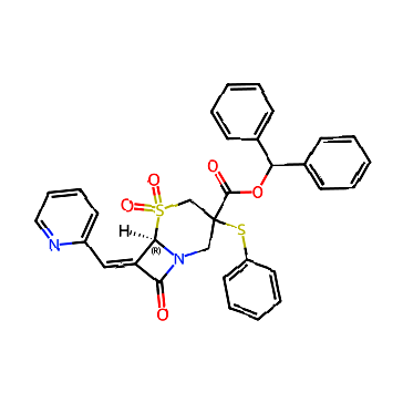 O=C1C(=Cc2ccccn2)[C@@H]2N1CC(Sc1ccccc1)(C(=O)OC(c1ccccc1)c1ccccc1)CS2(=O)=O